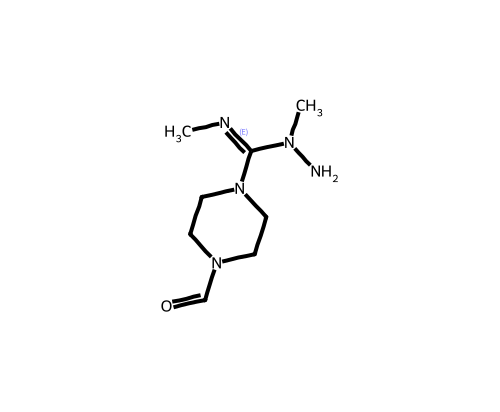 C/N=C(/N(C)N)N1CCN(C=O)CC1